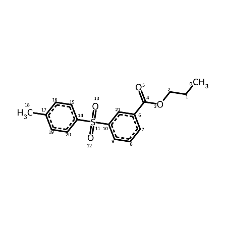 CCCOC(=O)c1cccc(S(=O)(=O)c2ccc(C)cc2)c1